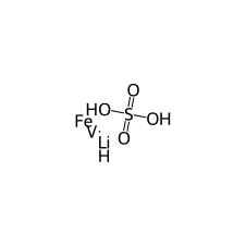 O=S(=O)(O)O.[Fe].[LiH].[V]